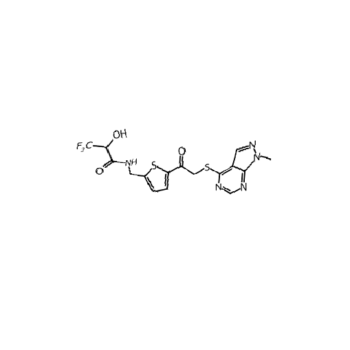 Cn1ncc2c(SCC(=O)c3ccc(CNC(=O)C(O)C(F)(F)F)s3)ncnc21